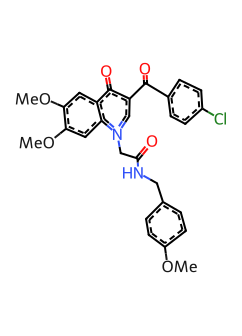 COc1ccc(CNC(=O)Cn2cc(C(=O)c3ccc(Cl)cc3)c(=O)c3cc(OC)c(OC)cc32)cc1